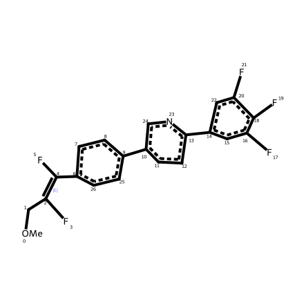 COC/C(F)=C(\F)c1ccc(-c2ccc(-c3cc(F)c(F)c(F)c3)nc2)cc1